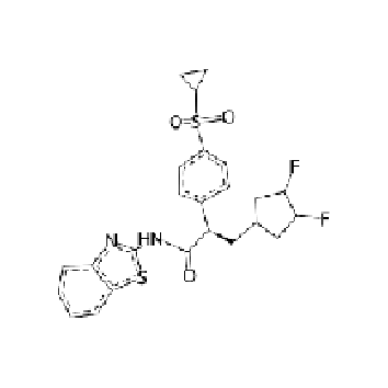 O=C(Nc1nc2ccccc2s1)[C@H](CC1CC(F)C(F)C1)c1ccc(S(=O)(=O)C2CC2)cc1